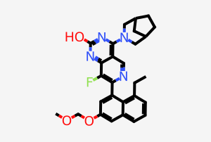 CCc1cccc2cc(OCOC)cc(-c3ncc4c(N5CC6CCC(C6)C5)nc(O)nc4c3F)c12